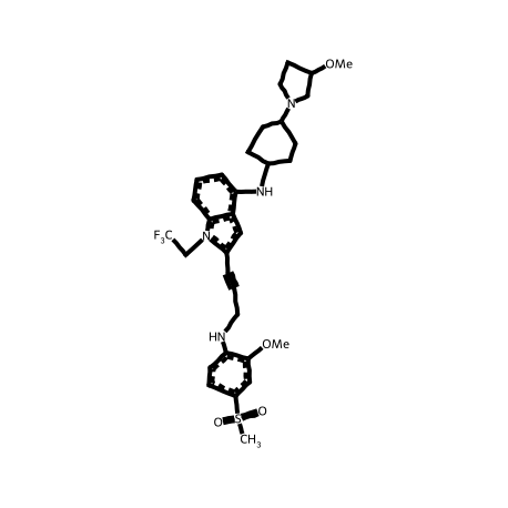 COc1cc(S(C)(=O)=O)ccc1NCC#Cc1cc2c(NC3CCC(N4CCC(OC)C4)CC3)cccc2n1CC(F)(F)F